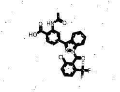 CC(=O)Nc1cc(-c2nn(C(=O)c3c(Cl)cccc3C(F)(F)F)c3ccccc23)ccc1C(=O)O